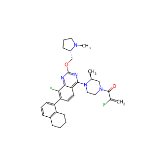 C=C(F)C(=O)N1CCN(c2nc(OC[C@@H]3CCCN3C)nc3c(F)c(-c4cccc5c4CCCC5)ccc23)[C@@H](C)C1